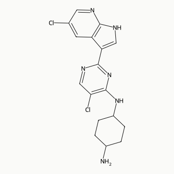 NC1CCC(Nc2nc(-c3c[nH]c4ncc(Cl)cc34)ncc2Cl)CC1